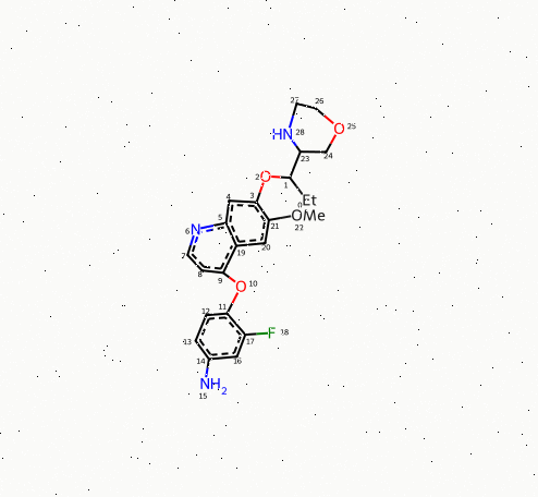 CCC(Oc1cc2nccc(Oc3ccc(N)cc3F)c2cc1OC)C1COCCN1